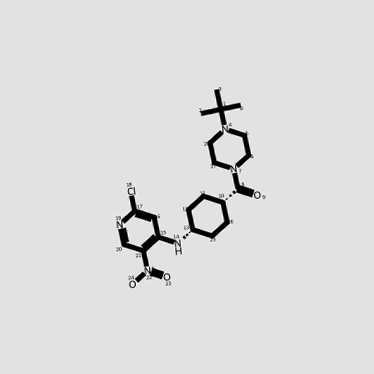 CC(C)(C)N1CCN(C(=O)[C@H]2CC[C@@H](Nc3cc(Cl)ncc3[N+](=O)[O-])CC2)CC1